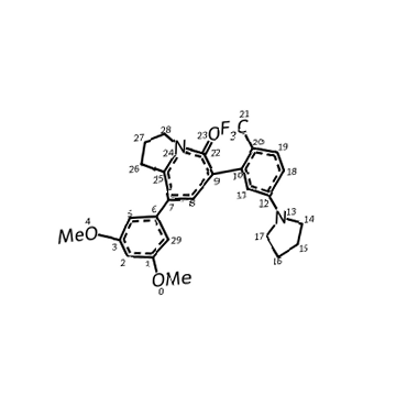 COc1cc(OC)cc(-c2cc(-c3cc(N4CCCC4)ccc3C(F)(F)F)c(=O)n3c2CCC3)c1